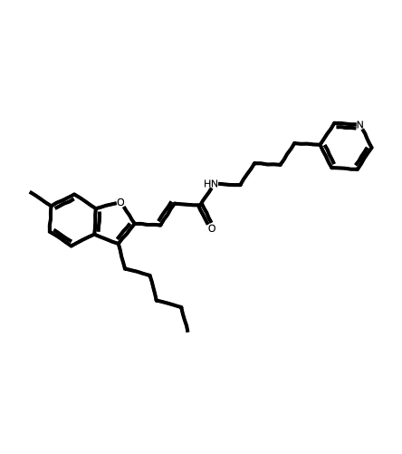 CCCCCc1c(C=CC(=O)NCCCCc2cccnc2)oc2cc(C)ccc12